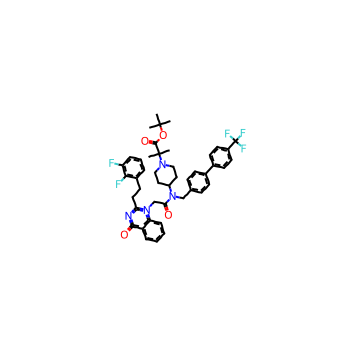 CC(C)(C)OC(=O)C(C)(C)N1CCC(N(Cc2ccc(-c3ccc(C(F)(F)F)cc3)cc2)C(=O)Cn2c(CCc3cccc(F)c3F)nc(=O)c3ccccc32)CC1